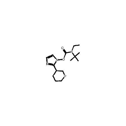 CCN(C(=O)On1ccnc1C1CCCOC1)C(C)(C)C